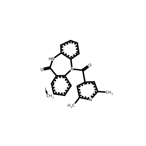 CI.Cc1cc(C(=O)N2c3ccccc3NC(=O)c3ccccc32)cc(C)n1